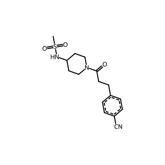 CS(=O)(=O)NC1CCN(C(=O)CCc2ccc(C#N)cc2)CC1